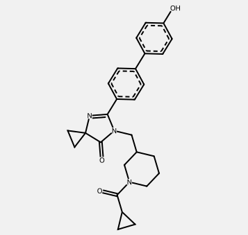 O=C(C1CC1)N1CCCC(CN2C(=O)C3(CC3)N=C2c2ccc(-c3ccc(O)cc3)cc2)C1